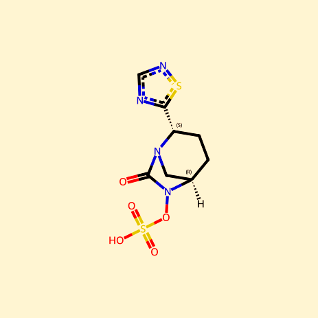 O=C1N2C[C@@H](CC[C@H]2c2ncns2)N1OS(=O)(=O)O